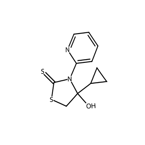 OC1(C2CC2)CSC(=S)N1c1ccccn1